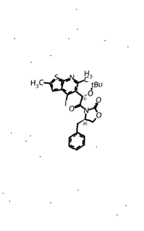 Cc1cc2c(I)c([C@H](OC(C)(C)C)C(=O)N3C(=O)OC[C@H]3Cc3ccccc3)c(C)nc2s1